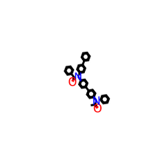 CC(=O)N(c1ccccc1)c1ccc(-c2ccc(N(C(=O)c3ccccc3)c3ccc(-c4ccccc4)cc3)cc2)cc1